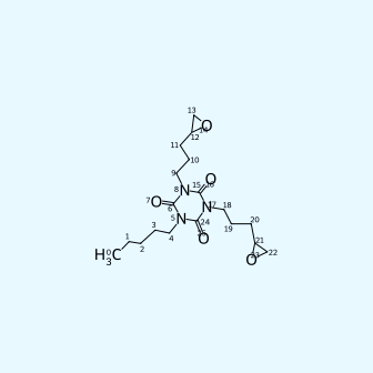 CCCCCn1c(=O)n(CCCC2CO2)c(=O)n(CCCC2CO2)c1=O